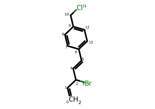 C=CC(Br)C=Cc1ccc(CCl)cc1